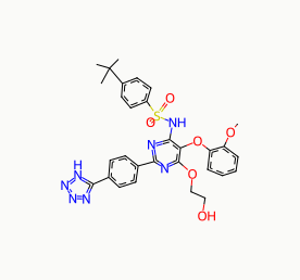 COc1ccccc1Oc1c(NS(=O)(=O)c2ccc(C(C)(C)C)cc2)nc(-c2ccc(-c3nnn[nH]3)cc2)nc1OCCO